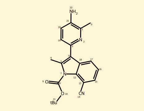 Cc1nc(-c2c(C)n(C(=O)OC(C)(C)C)c3c(C#N)cccc23)ccc1N